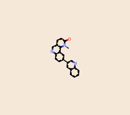 Cn1c(=O)ccc2cnc3ccc(-c4cnc5ccccc5c4)cc3c21